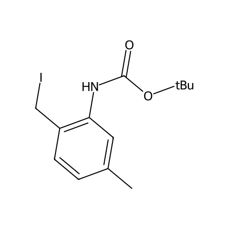 Cc1ccc(CI)c(NC(=O)OC(C)(C)C)c1